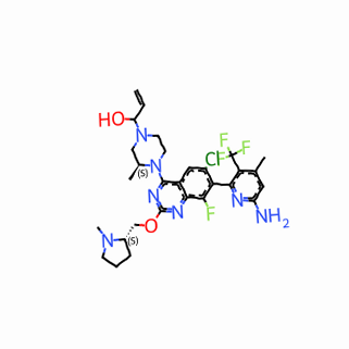 C=CC(O)N1CCN(c2nc(OC[C@@H]3CCCN3C)nc3c(F)c(-c4nc(N)cc(C)c4C(F)(F)F)c(Cl)cc23)[C@@H](C)C1